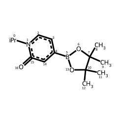 CC(C)n1ccc(B2OC(C)(C)C(C)(C)O2)cc1=O